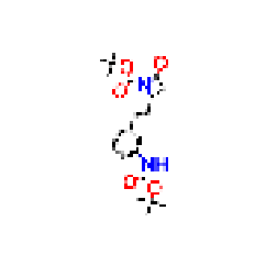 CC(C)(C)OC(=O)Nc1cccc(/C=C/C2CC(=O)N2C(=O)OC(C)(C)C)c1